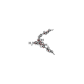 CCCCOc1ccc(OC(=O)C=Cc2ccc(OCCCCC(CCCCOc3ccc(C=CC(=O)Oc4ccc(OCCCC)cc4)cc3)(c3ccc(N)cc3)C(Cc3ccc(N)cc3)(C(=O)O)C(=O)O)cc2)cc1